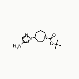 CC(C)(C)OC(=O)N1CCCC(n2cc(N)cn2)CC1